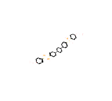 O=S(=O)(c1ccc(O)cc1)c1ccc(-c2ccc(-c3ccc(S(=O)(=O)c4ccc(O)cc4)cc3)cc2)cc1